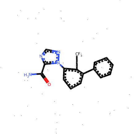 NC(=O)c1ncnn1-c1cccc(-c2ccccc2)c1C(F)(F)F